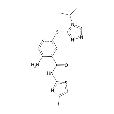 Cc1csc(NC(=O)c2cc(Sc3nncn3C(C)C)ccc2N)n1